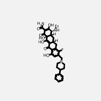 CCN[C@@H]1C(O)=C(C(N)=O)C(=O)[C@@]2(O)C(O)=C3C(=O)c4c(O)cc(CN5CCC(c6ccccc6)CC5)c(F)c4C[C@H]3C[C@@H]12